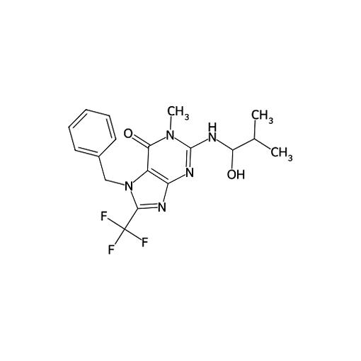 CC(C)C(O)Nc1nc2nc(C(F)(F)F)n(Cc3ccccc3)c2c(=O)n1C